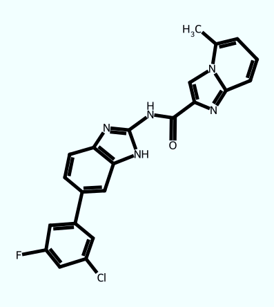 Cc1cccc2nc(C(=O)Nc3nc4ccc(-c5cc(F)cc(Cl)c5)cc4[nH]3)cn12